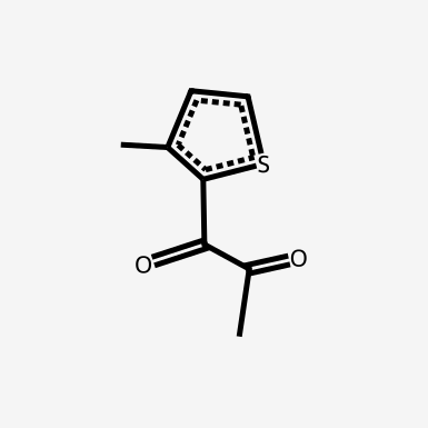 CC(=O)C(=O)c1sccc1C